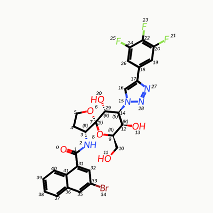 O=C(N[C@@H]1CCO[C@]12O[C@H](CO)[C@H](O)[C@H](n1cc(-c3cc(F)c(F)c(F)c3)nn1)[C@H]2O)c1cc(Br)cc2ccccc12